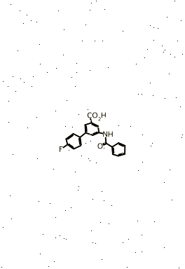 O=C(O)c1cc(NC(=O)c2ccccc2)cc(-c2ccc(F)cc2)c1